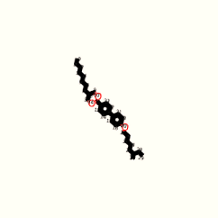 CCCCCCCCC1COC(c2ccc(-c3ccc(OCCCCCC(C)CC)cc3)cc2)OC1